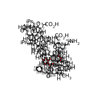 CC(C)C[C@H](NC(=O)[C@H](CCC(=O)O)NC(=O)[C@H](CC(N)=O)NC(=O)[C@H](CCC(N)=O)NC(=O)[C@H](CC(C)C)NC(=O)[C@H](C)NC(=O)CNC(=O)CNC(=O)[C@H](CCC(=O)O)NC(=O)[C@H](CCCCN)NC(=O)[C@@H](NC(=O)[C@H](CCCNC(=N)N)NC(=O)[C@H](CCCNC(=N)N)NC(=O)[C@H](Cc1c[nH]cn1)NC(=O)[C@H](CO)NC(=O)[C@@H](NC(=O)[C@H](C)NC(=O)CNC(=O)[C@H](Cc1ccccc1)NC(=O)CN)[C@@H](C)O)[C@@H](C)O)C(=O)O